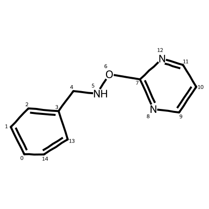 c1ccc(CNOc2ncccn2)cc1